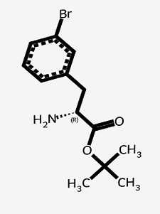 CC(C)(C)OC(=O)[C@H](N)Cc1cccc(Br)c1